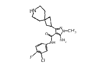 Cn1nc(C2CC3(CCNCC3)C2)c(C(=O)Nc2ccc(F)c(Cl)c2)c1N